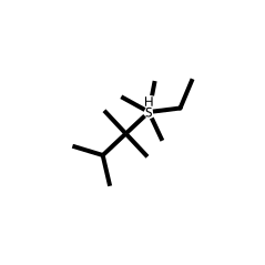 CC[SH](C)(C)(C)C(C)(C)C(C)C